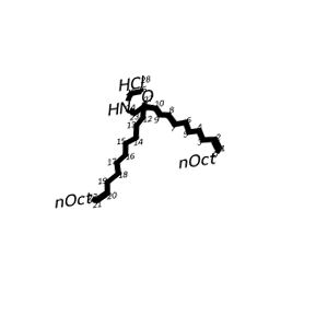 CCCCCCCC/C=C\CCCCCCCCC1(CCCCCCCC/C=C\CCCCCCCC)CNCCO1.Cl